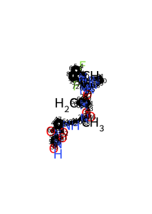 C#Cc1c(F)ccc2cccc(-c3ncc4c(N5CC6CCC(C5)N6)nc(OC[C@@]56CC[C@@H](COC(=O)N(C)CCCCCNc7cccc8c7C(=O)N(C7CCC(=O)NC7=O)C8=O)N5CC(=C)C6)nc4c3F)c12